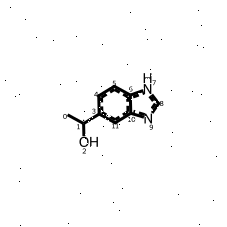 C[C](O)c1ccc2[nH]cnc2c1